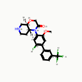 COc1cc(-c2cccc(C(F)(F)F)c2)c(F)cc1N1C(=O)CO[C@@H]2CNCC[C@H]21